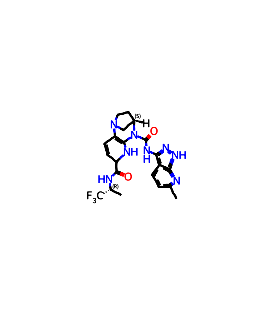 Cc1ccc2c(NC(=O)N3C4=C(C=CC(C(=O)N[C@H](C)C(F)(F)F)N4)N4CC[C@H]3C4)n[nH]c2n1